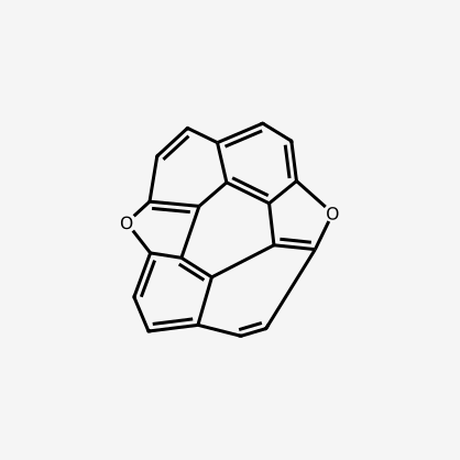 c1cc2oc3ccc4ccc5oc6ccc1c1c2c3c4c5c61